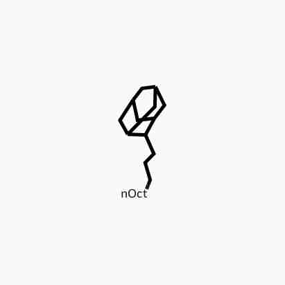 CCCCCCCCCCCC1C2CC3CC(C2)CC1C3